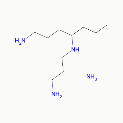 CCCC(CCCN)NCCCN.N